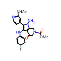 COC(=O)N1CC(=O)c2c(NC3=CCC(F)C=C3)c(-c3ccnc(NC(C)=O)c3)n(N)c2C1